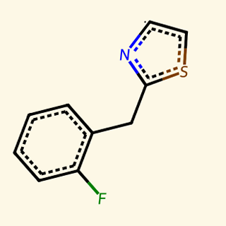 Fc1ccccc1Cc1n[c]cs1